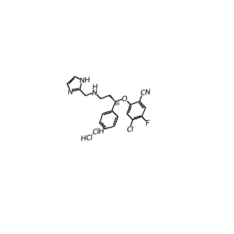 Cl.Cl.N#Cc1cc(F)c(Cl)cc1O[C@H](CCNCc1ncc[nH]1)c1ccccc1